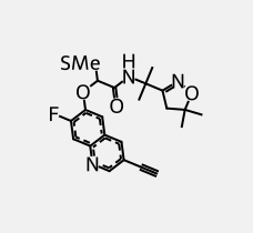 C#Cc1cnc2cc(F)c(OC(SC)C(=O)NC(C)(C)C3=NOC(C)(C)C3)cc2c1